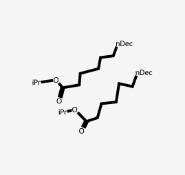 CCCCCCCCCCCCCCCC(=O)OC(C)C.CCCCCCCCCCCCCCCC(=O)OC(C)C